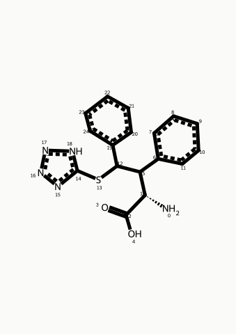 N[C@H](C(=O)O)C(c1ccccc1)C(Sc1nnn[nH]1)c1ccccc1